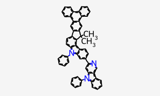 CC1(C)c2cc3c4ccccc4c4ccccc4c3cc2-c2ccc3c(c21)c1ccc(-c2cc4c(cn2)c2ccccc2n4-c2ccccc2)cc1n3-c1ccccc1